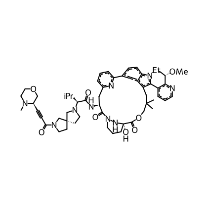 CCn1c(-c2cccnc2[C@H](C)OC)c2c3cc(ccc31)-c1cccc(n1)C[C@H](NC(=O)[C@H](C(C)C)N1CC[C@@]3(CCN(C(=O)C#C[C@@H]4COCCN4C)C3)C1)C(=O)N1CCC[C@@](O)(N1)C(=O)OCC(C)(C)C2